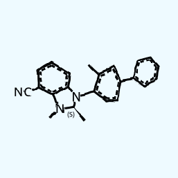 Cc1cc(-c2ccccc2)ccc1N1c2cccc(C#N)c2N(C)[C@@H]1C